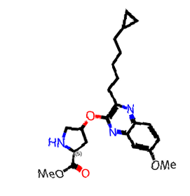 COC(=O)[C@@H]1CC(Oc2nc3cc(OC)ccc3nc2CCCCCC2CC2)CN1